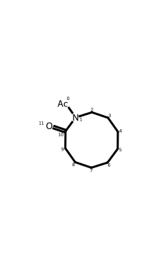 CC(=O)N1CCCCCCCCC1=O